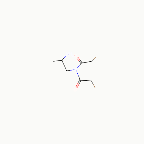 NC(CN(C(=O)CS)C(=O)CS)C(=O)O